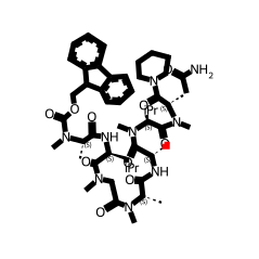 CC(C)C[C@H](NC(=O)[C@H](C)N(C)C(=O)OCC1c2ccccc2-c2ccccc21)C(=O)N(C)CC(=O)N(C)[C@@H](C)C(=O)N[C@@H](C)C(=O)N(C)[C@H](C(=O)N(C)[C@@H](CC(N)=O)C(=O)N1CCCCC1)C(C)C